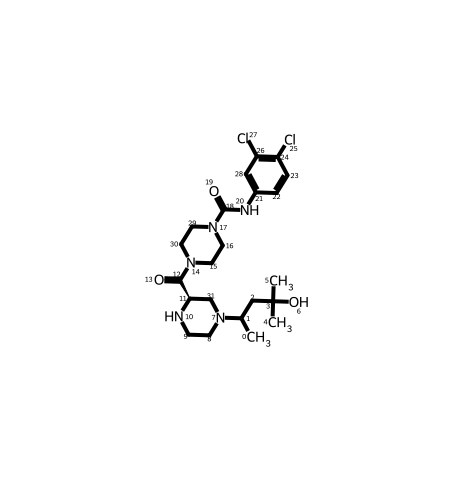 CC(CC(C)(C)O)N1CCN[C@@H](C(=O)N2CCN(C(=O)Nc3ccc(Cl)c(Cl)c3)CC2)C1